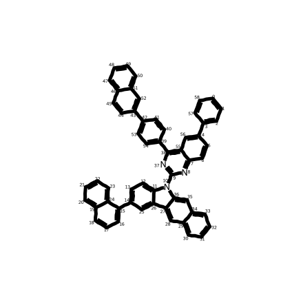 c1ccc(-c2ccc3nc(-n4c5ccc(-c6cccc7ccccc67)cc5c5cc6ccccc6cc54)nc(-c4ccc(-c5ccc6ccccc6c5)cc4)c3c2)cc1